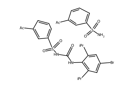 CC(=O)c1cccc(S(=O)(=O)NC(=O)Nc2c(C(C)C)cc(Br)cc2C(C)C)c1.CC(=O)c1cccc(S(N)(=O)=O)c1